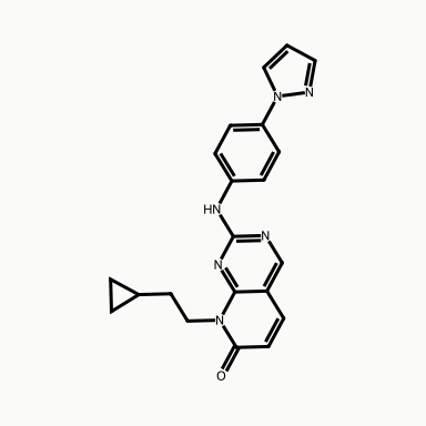 O=c1ccc2cnc(Nc3ccc(-n4cccn4)cc3)nc2n1CCC1CC1